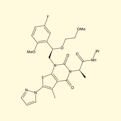 COCCO[C@@H](Cn1c(=O)n([C@H](C)C(=O)NC(C)C)c(=O)c2c(C)c(-n3cccn3)sc21)c1cc(F)ccc1OC